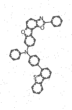 c1ccc(-c2nc3ccc4oc5cc(N(c6ccccc6)c6ccc(-c7cccc8c7sc7ccccc78)cc6)ccc5c4c3o2)cc1